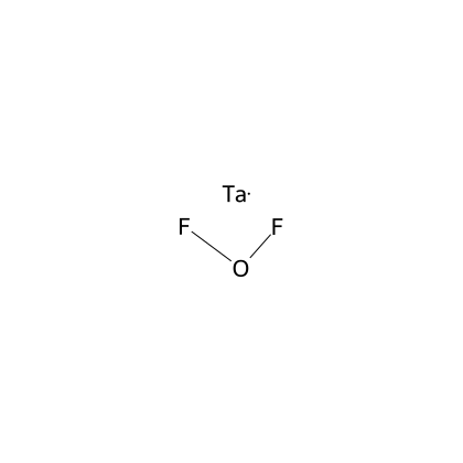 FOF.[Ta]